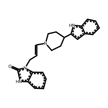 O=c1[nH]c2ccccc2n1CC=CN1CCC(c2cc3ccccc3[nH]2)CC1